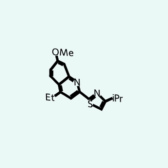 CCc1cc(-c2nc(C(C)C)cs2)nc2cc(OC)ccc12